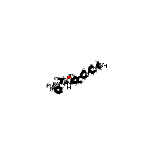 Cc1cc(Nc2ncc(Cl)c(Nc3ccccc3S(=O)(=O)C(C)C)n2)c(OC(C)C)cc1C1CCN(C2CCN(C3CNC3)CC2)CC1